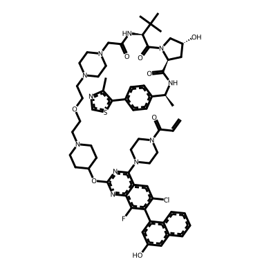 C=CC(=O)N1CCN(c2nc(OC3CCN(CCOCCN4CCN(CC(=O)N[C@H](C(=O)N5C[C@H](O)C[C@H]5C(=O)N[C@@H](C)c5ccc(-c6scnc6C)cc5)C(C)(C)C)CC4)CC3)nc3c(F)c(-c4cc(O)cc5ccccc45)c(Cl)cc23)CC1